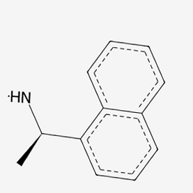 C[C@@H]([NH])c1cccc2ccccc12